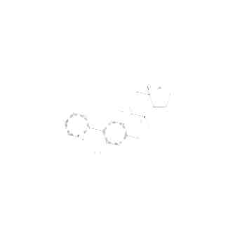 C[C@@]12CCC[C@H]1[C@@H]1CCc3cc(O)c(-c4ccccn4)cc3[C@H]1CC2